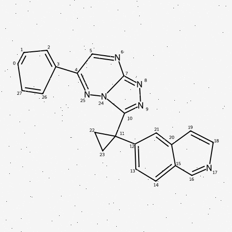 c1ccc(-c2cnc3nnc(C4(c5ccc6cnccc6c5)CC4)n3n2)cc1